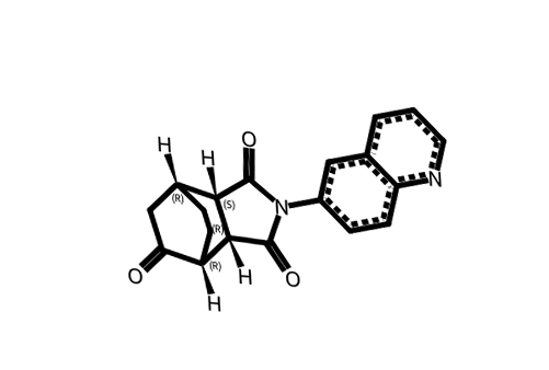 O=C1C[C@H]2CC[C@@H]1[C@H]1C(=O)N(c3ccc4ncccc4c3)C(=O)[C@@H]21